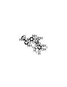 NC[C@@H]1O[C@H](O[C@H]2[C@@H](O)[C@H](O[C@@H]3[C@@H](O)[C@H](N)C[C@H](N)[C@H]3O[C@H]3O[C@H]([C@@H]4COCCN4)CC[C@H]3N)O[C@@H]2CO)[C@H](N)[C@@H](O)[C@@H]1O